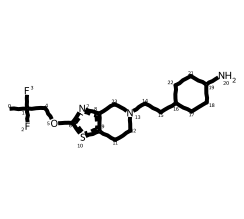 CC(F)(F)COc1nc2c(s1)CCN(CCC1CCC(N)CC1)C2